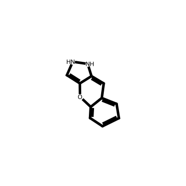 C1=C2NNC=C2Oc2ccccc21